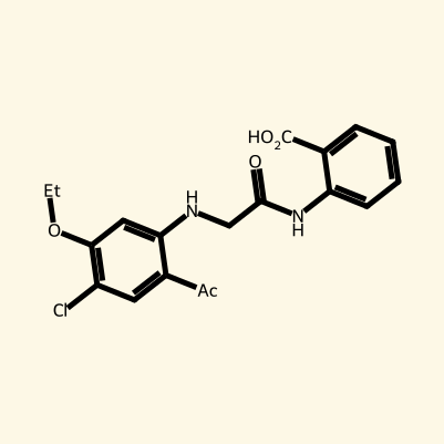 CCOc1cc(NCC(=O)Nc2ccccc2C(=O)O)c(C(C)=O)cc1Cl